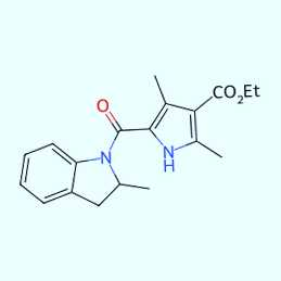 CCOC(=O)c1c(C)[nH]c(C(=O)N2c3ccccc3CC2C)c1C